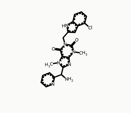 Cn1c(C(N)c2ccccn2)nc2c1c(=O)n(Cc1cc3c(Cl)cccc3[nH]1)c(=O)n2C